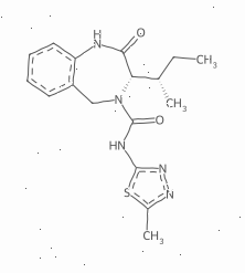 CC[C@H](C)[C@H]1C(=O)Nc2ccccc2CN1C(=O)Nc1nnc(C)s1